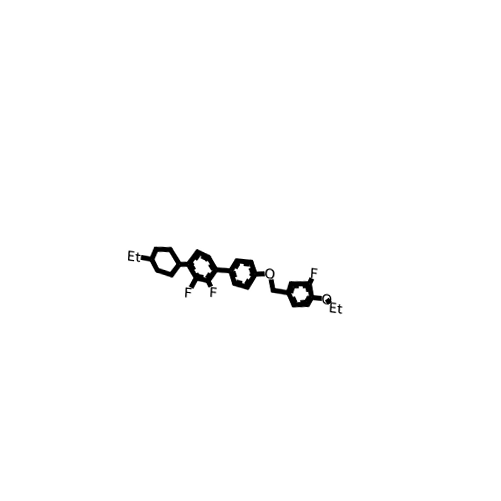 CCOc1ccc(COc2ccc(-c3ccc(C4CCC(CC)CC4)c(F)c3F)cc2)cc1F